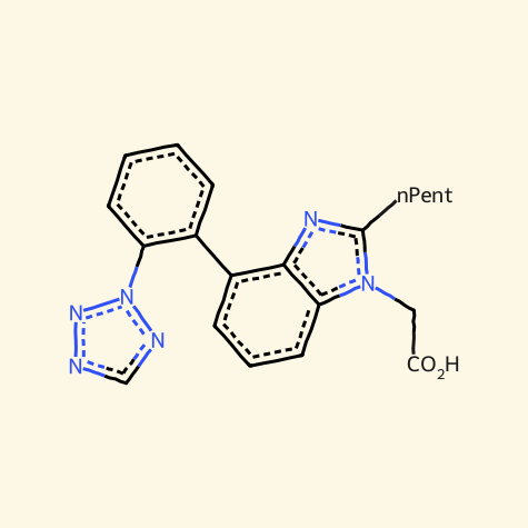 CCCCCc1nc2c(-c3ccccc3-n3ncnn3)cccc2n1CC(=O)O